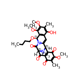 CCCCO[C@H]1c2c(c(O)c(C)c(OC)c2OC)C=C2[C@H]3C4=C(C(=O)C(C)=C(OC)C4=O)C(=O)[C@H](C(=O)N21)N3C